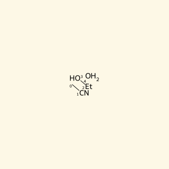 CC#N.CCO.O